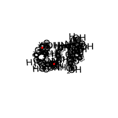 C=C1C(=O)c2ccccc2C2=C(C(=O)c3cccc(S(=O)(=O)O)c3)C(=O)N(C)/C(=C/C=C\1Nc1cc(Nc3nc(N)nc(NC4CCC(CC5CCC(Nc6nc(N)nc(Nc7cc(Nc8ccc9c%10c8C(=O)c8ccccc8-c%10c(C(=O)c8cccc(S(=O)(=O)O)c8)c(=O)n9C)c(S(=O)(=O)O)cc7S(=O)(=O)O)n6)CC5)CC4)n3)c(S(=O)(=O)O)cc1S(=O)(=O)O)C2